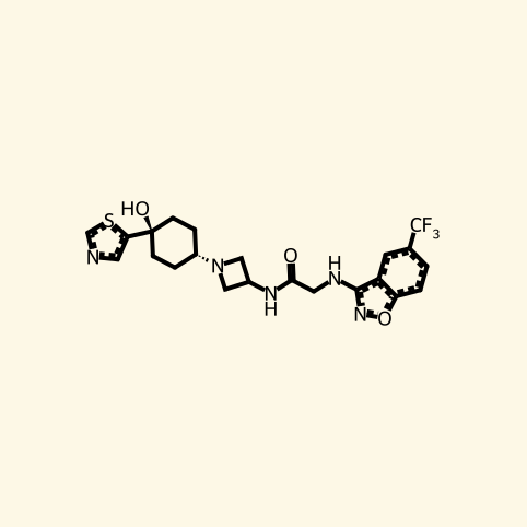 O=C(CNc1noc2ccc(C(F)(F)F)cc12)NC1CN([C@H]2CC[C@@](O)(c3cncs3)CC2)C1